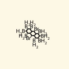 Bc1c(B)c(B)c2c(Br)c3c(B)c(B)c(B)c(B)c3c(Br)c2c1B